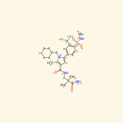 Cc1c(C(=O)NCC(C)(C)C(N)=O)cc(-c2ccc(S(=O)(=O)NC(C)(C)C)c(C(F)F)c2)n1CC1CCCCC1